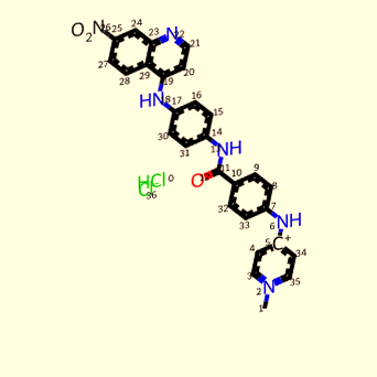 Cl.Cn1cc[c+](Nc2ccc(C(=O)Nc3ccc(Nc4ccnc5cc([N+](=O)[O-])ccc45)cc3)cc2)cc1.[Cl-]